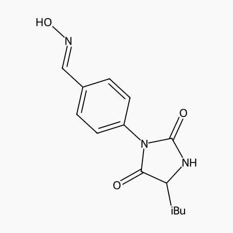 CCC(C)C1NC(=O)N(c2ccc(C=NO)cc2)C1=O